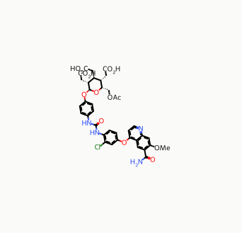 COc1cc2nccc(Oc3ccc(NC(=O)Nc4ccc(O[C@@H]5O[C@@H](COC(C)=O)[C@@H](CC(=O)O)[C@H](CC(=O)O)[C@H]5CC(=O)O)cc4)c(Cl)c3)c2cc1C(N)=O